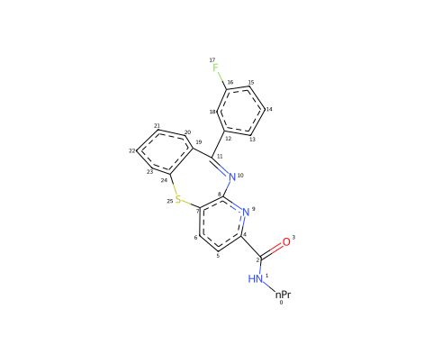 CCCNC(=O)c1ccc2c(n1)N=C(c1cccc(F)c1)c1ccccc1S2